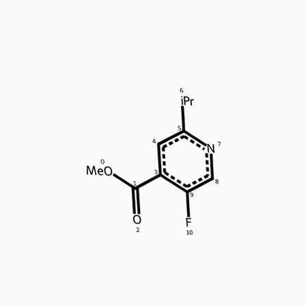 COC(=O)c1cc(C(C)C)ncc1F